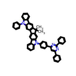 CC1(C)c2cc3c4ccccc4n(-c4ccccc4)c3cc2-c2cc3c4ccccc4n(-c4ccc(-c5cc(-c6ccccc6)nc(-c6ccccc6)n5)cc4)c3cc21